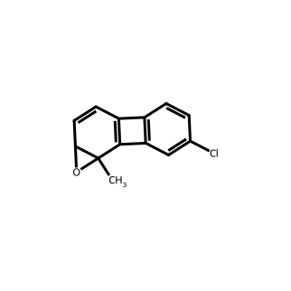 CC12OC1C=CC1=C2c2cc(Cl)ccc21